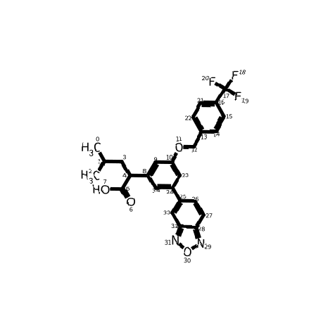 CC(C)CC(C(=O)O)c1cc(OCc2ccc(C(F)(F)F)cc2)cc(-c2ccc3nonc3c2)c1